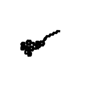 CCCCCCCCC#Cc1ccc(CN(Cc2ccc(OCC(=O)OC)c(C(=O)OC)c2)C(=O)C=Cc2ccccc2)cc1